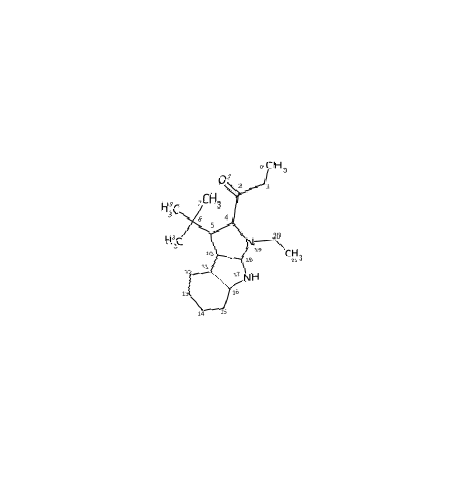 CCC(=O)C1C(C(C)(C)C)C2C3CCCCC3NC2N1CC